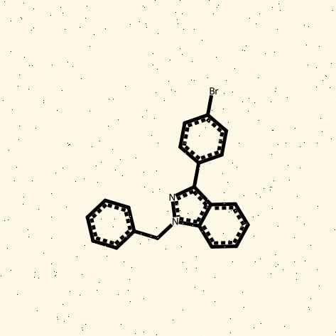 Brc1ccc(-c2nn(Cc3ccccc3)c3ccccc23)cc1